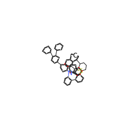 c1ccc(-c2ccc(-c3ccc(N(c4ccccc4-c4cccc5cccc(C6CCCCC6)c45)c4ccccc4-c4cccc5sc6ccccc6c45)cc3)cc2-c2ccccc2)cc1